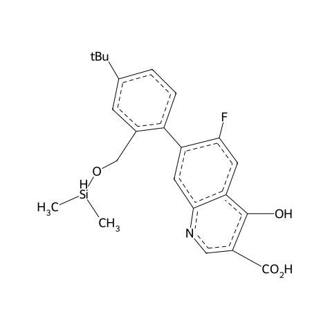 C[SiH](C)OCc1cc(C(C)(C)C)ccc1-c1cc2ncc(C(=O)O)c(O)c2cc1F